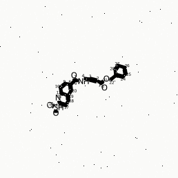 O=C(C#CCNC(=O)c1ccc2nc([SH](=O)=O)ccc2c1)OCc1ccccc1